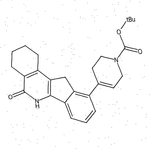 CC(C)(C)OC(=O)N1CC=C(c2cccc3c2Cc2c-3[nH]c(=O)c3c2CCCC3)CC1